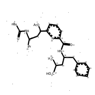 CCCCC(=O)NC(CC(OC(C)=O)c1cccc(C(=O)NC(Cc2ccccc2)CC(C)C(=O)O)n1)C(C)C